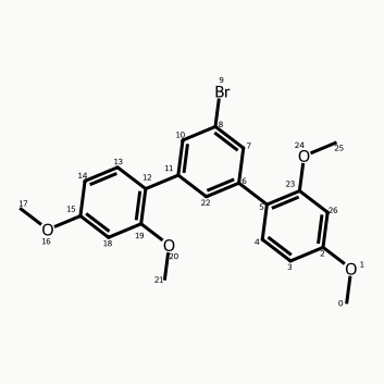 COc1ccc(-c2cc(Br)cc(-c3ccc(OC)cc3OC)c2)c(OC)c1